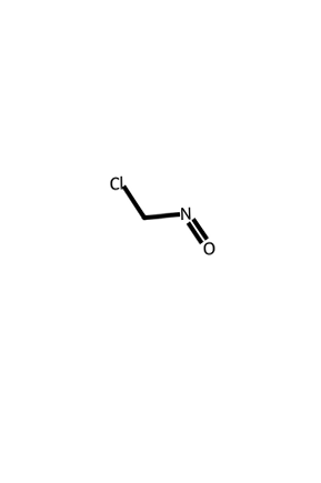 O=NCCl